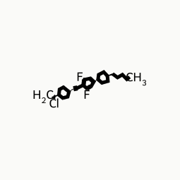 C=C(Cl)[C@H]1CC[C@H](C#Cc2c(F)cc([C@H]3CC[C@H](CCCCC)CC3)cc2F)CC1